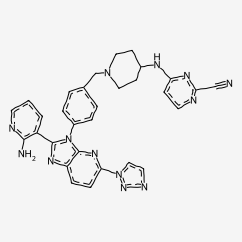 N#Cc1nccc(NC2CCN(Cc3ccc(-n4c(-c5cccnc5N)nc5ccc(-n6ccnn6)nc54)cc3)CC2)n1